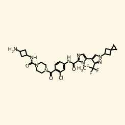 Cn1c(-c2cn(C3CC4(CC4)C3)nc2C(F)(F)F)cnc1C(=O)Nc1ccc(C(=O)N2CCN(C(=O)NC3CC(N)C3)CC2)c(Cl)c1